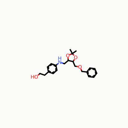 CC1(C)OC(CNc2ccc(CCO)cc2)C(COCc2ccccc2)O1